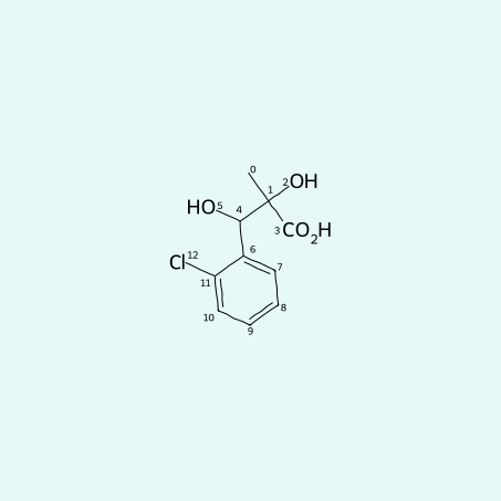 CC(O)(C(=O)O)C(O)c1ccccc1Cl